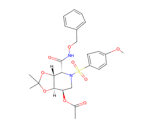 COc1ccc(S(=O)(=O)N2C[C@@H](OC(C)=O)[C@H]3OC(C)(C)O[C@@H]3[C@@H]2C(=O)NOCc2ccccc2)cc1